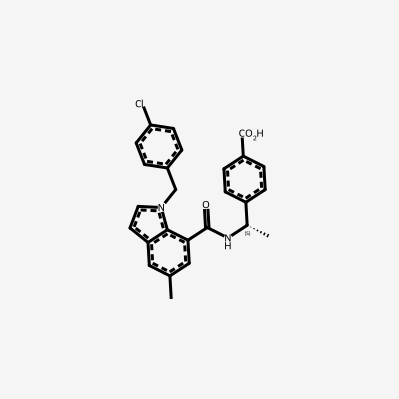 Cc1cc(C(=O)N[C@@H](C)c2ccc(C(=O)O)cc2)c2c(ccn2Cc2ccc(Cl)cc2)c1